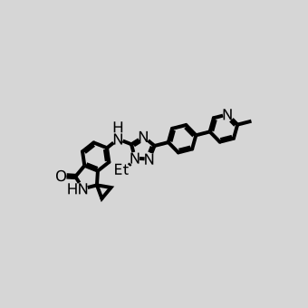 CCn1nc(-c2ccc(-c3ccc(C)nc3)cc2)nc1Nc1ccc2c(c1)C1(CC1)NC2=O